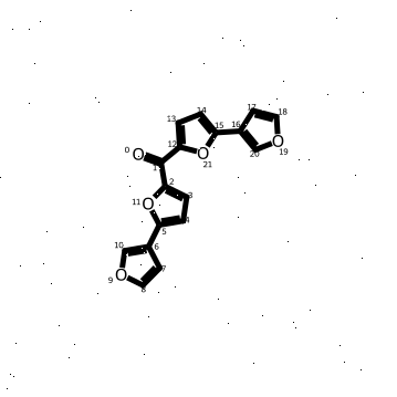 O=C(c1ccc(-c2ccoc2)o1)c1ccc(-c2ccoc2)o1